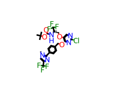 Cn1cc(C(F)(F)F)nc1-c1ccc(COc2nc(Cl)ncc2OC[C@@H](NC(=O)OC(C)(C)C)C(F)(F)F)cc1